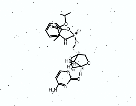 CC(C)OC(=O)C(C)NP(=O)(OC[C@@]12CO[C@@H]([C@H](n3ccc(N)nc3=O)O1)[C@@H]2O)Oc1ccccc1